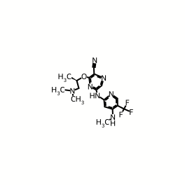 CNc1cc(Nc2cnc(C#N)c(O[C@H](C)CN(C)C)n2)ncc1C(F)(F)F